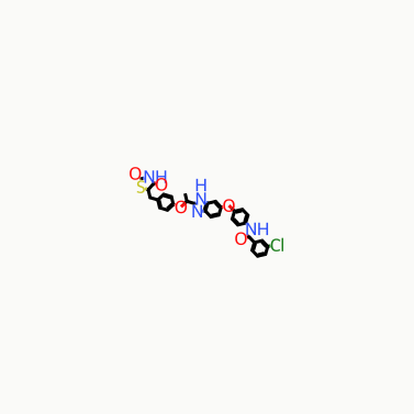 CC(Oc1ccc(CC2SC(=O)NC2=O)cc1)c1nc2ccc(Oc3ccc(NC(=O)c4cccc(Cl)c4)cc3)cc2[nH]1